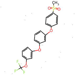 CS(=O)(=O)c1ccc(Oc2cccc(Oc3cccc(OC(F)(F)F)c3)c2)cc1